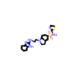 O=S(=O)(Nc1nccs1)c1ccc2c(c1)CCN2CCNc1nc2ccccc2[nH]1